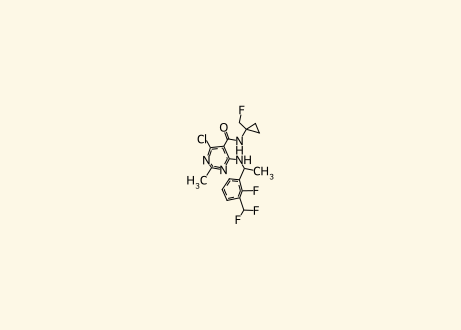 Cc1nc(Cl)c(C(=O)NC2(CF)CC2)c(NC(C)c2cccc(C(F)F)c2F)n1